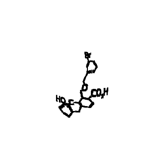 O=C(O)c1ccc(Cc2ccccc2)c(C(=O)O)c1COCc1cccc(Br)c1